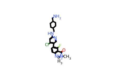 CN(C)C(=O)c1c(N)ccc(-c2cnc(NCC3CCC(CN)CC3)cc2Cl)c1F